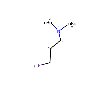 CCCCN(CCCC)CCCI